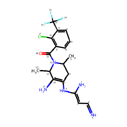 CC1CC(N/C(N)=C/C=N)=C(N)C(C)N1C(=O)c1cccc(C(F)(F)F)c1Cl